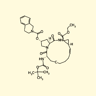 CCOC(=O)[C@@]12C[C@H]1/C=C\CCCCC[C@H](NC(=O)OC(C)(C)C)C(=O)N1C[C@H](OC(=O)N3CCc4ccccc4C3)C[C@H]1C(=O)N2